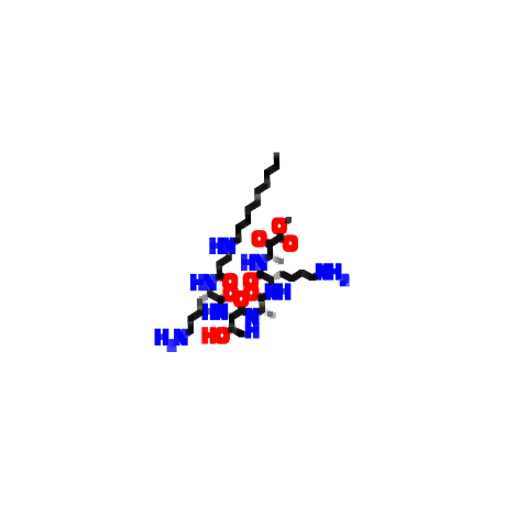 CCCCCCCCCCNCCC(=O)N[C@@H](CCCCN)C(=O)N[C@H](C(=O)N[C@@H](C)C(=O)N[C@@H](CCCCN)C(=O)N[C@@H](C)C(=O)C(=O)OC)[C@@H](C)O